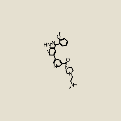 COc1ccccc1-c1n[nH]c2ncc(-c3cncc(C(=O)N4CCN(CCN(C)C)CC4)c3)cc12